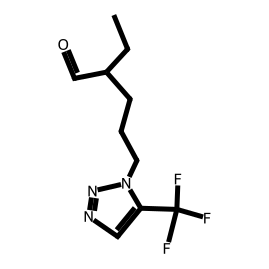 CCC(C=O)CCCn1nncc1C(F)(F)F